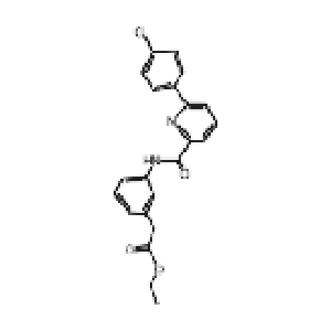 CCOC(=O)Cc1cccc(NC(=O)c2cccc(-c3ccc(Cl)cc3)n2)c1